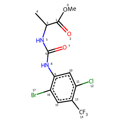 COC(=O)C(C)NC(=O)Nc1cc(Cl)c(C(F)(F)F)cc1Br